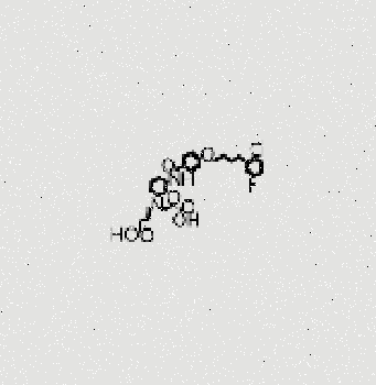 O=C(O)CCCN1C[C@@H](C(=O)O)Oc2c(NC(=O)c3ccc(OCCCCc4cc(F)ccc4Cl)cc3)cccc21